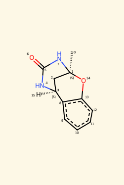 C[C@]12C[C@H](NC(=O)N1)c1ccccc1O2